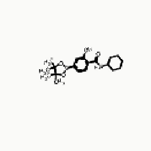 CC1(C)OB(c2ccc(C(=O)NC3CCCCC3)c(O)c2)OC1(C)C